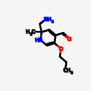 CCCOC1=CNC(C)(CN)C=C1C=O